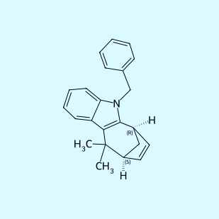 CC1(C)c2c(n(Cc3ccccc3)c3ccccc23)[C@H]2C=C[C@@H]1C2